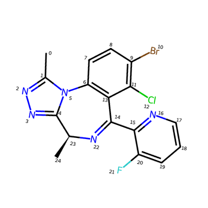 Cc1nnc2n1-c1ccc(Br)c(Cl)c1C(c1ncccc1F)=N[C@H]2C